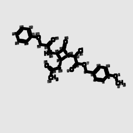 COc1ccc(COC(=O)C(Cl)N2C(=O)[C@H](NC(=O)COc3ccccc3)[C@@H]2SC(C)=O)cc1